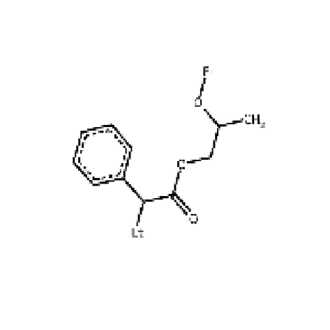 CCOC(C)COC(=O)C(CC)c1ccccc1